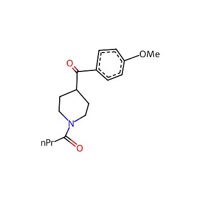 C[CH]CC(=O)N1CCC(C(=O)c2ccc(OC)cc2)CC1